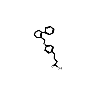 O=C(O)CCCc1ccc(OCC2=C(c3ccccc3)CCCC2)cc1